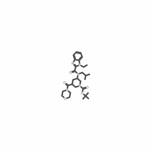 CCn1c(C(=O)N(CC(C)C)C2CC(C(=O)N3CCOCC3)CN(C(=O)OC(C)(C)C)C2)nc2ccccc21